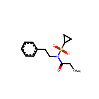 COCC(=O)N(CCc1ccccc1)S(=O)(=O)C1CC1